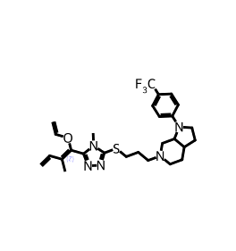 C=CO/C(=C(/C)C=C)c1nnc(SCCCN2CCC3CCN(c4ccc(C(F)(F)F)cc4)C3C2)n1C